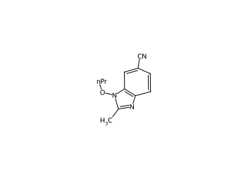 CCCOn1c(C)nc2ccc(C#N)cc21